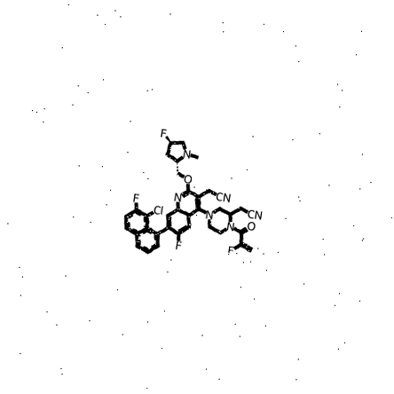 C=C(F)C(=O)N1CCN(C2=C(CC#N)C(OC[C@@H]3C[C@@H](F)CN3C)=NC3C=C(c4cccc5ccc(F)c(Cl)c45)C(F)=CC23)CC1CC#N